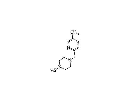 Cc1ccc(CN2CCN(S)CC2)nc1